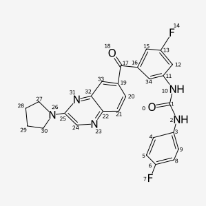 O=C(Nc1ccc(F)cc1)Nc1cc(F)cc(C(=O)c2ccc3ncc(N4CCCC4)nc3c2)c1